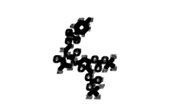 Cc1ccc(S(=O)(=O)OCCn2c(=O)c(C)cn(C3C[C@H](OC(=O)OC(C)(C)C)C(COC(=O)OC(C)(C)C)O3)c2=O)cc1